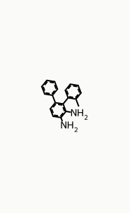 Cc1ccccc1-c1c(-c2ccccc2)ccc(N)c1N